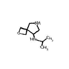 CC(C)NC1CNCC12COC2